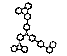 c1cc(N(c2ccc(-c3ccc(-c4cccc5ccccc45)cc3)cc2)c2ccc(-c3ccc4c5ccccc5c5ccccc5c4c3)cc2)cc(-n2c3ccccc3c3ccccc32)c1